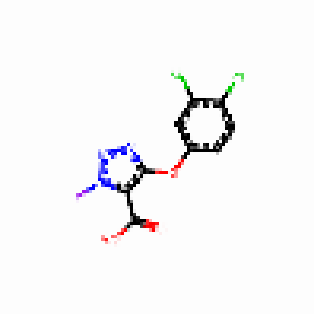 O=C(O)c1c(Oc2ccc(Cl)c(Cl)c2)nnn1I